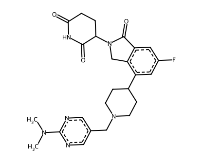 CN(C)c1ncc(CN2CCC(c3cc(F)cc4c3CN(C3CCC(=O)NC3=O)C4=O)CC2)cn1